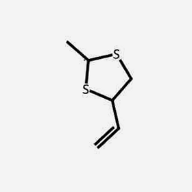 C=CC1CS[C](C)S1